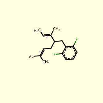 C/C=C(\C)C(C/C=C(\C)C(C)=O)Cc1c(F)cccc1F